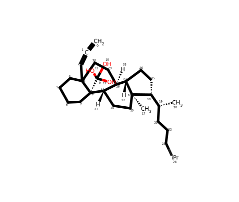 C=C=CC12CCCC[C@]1(C(O)(O)O)[C@H]1CC[C@]3(C)[C@@H]([C@H](C)CCCC(C)C)CC[C@H]3[C@@H]1CC2